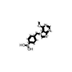 COc1ncnc2ncn(Cc3ccc(B(O)O)cc3)c12